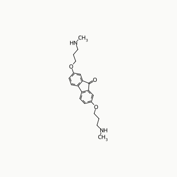 CNCCCOc1ccc2c(c1)C(=O)c1cc(OCCCNC)ccc1-2